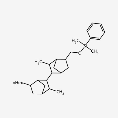 CCCCCCC1CC2CC1C(C1C3CC(CO[Si](C)(C)c4ccccc4)C(C3)C1C)C2C